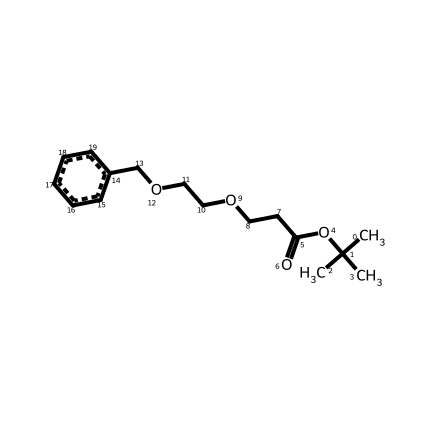 CC(C)(C)OC(=O)CCOCCOCc1ccccc1